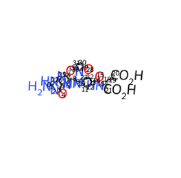 Nc1nc(=O)c2nc(CNc3ccc(C(=O)N[C@@H](CCC(=O)O)C(=O)O)cc3)cnc2[nH]1.O=C1C=CC(=O)N1